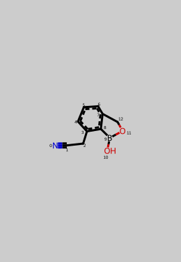 N#CCc1cccc2c1B(O)OC2